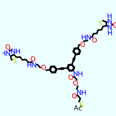 CC(=O)SCCC(=O)NCCOCC(=O)Nc1cc(C#Cc2ccc(COCCNC(=O)CCCCC3SCC4NC(=O)NC43)cc2)cc(C#Cc2ccc(COCCNC(=O)CCCCC3SCC4NC(=O)NC43)cc2)c1